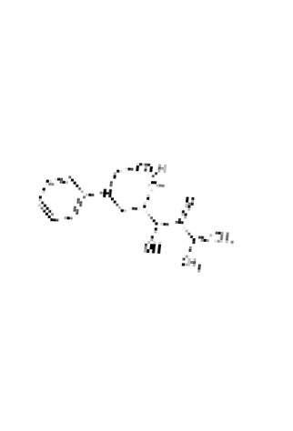 C=C(C)C(=O)C(O)C(O)CN(CC(=O)O)c1ccccc1